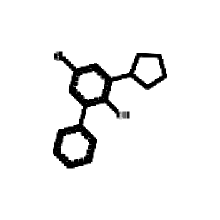 Oc1c(-c2ccccc2)cc(Cl)cc1C1CCCC1